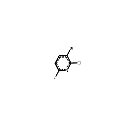 Fc1ccc(Br)c(Cl)n1